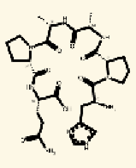 C[C@H](NC(=O)[C@@H]1CCCN1C(=O)[C@@H](N)Cc1c[nH]cn1)C(=O)N[C@@H](C)C(=O)N1CCC[C@H]1C(=O)N[C@@H](CCC(N)=O)C(=O)O